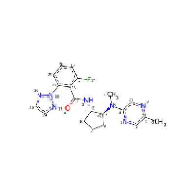 Cc1cnc(N(C)[C@H]2CCC[C@@H]2NC(=O)c2c(F)cccc2-n2nccn2)cn1